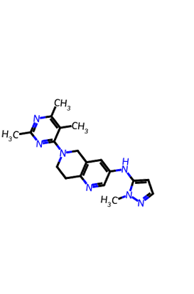 Cc1nc(C)c(C)c(N2CCc3ncc(Nc4ccnn4C)cc3C2)n1